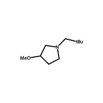 COC1CCN(CC(C)(C)C)C1